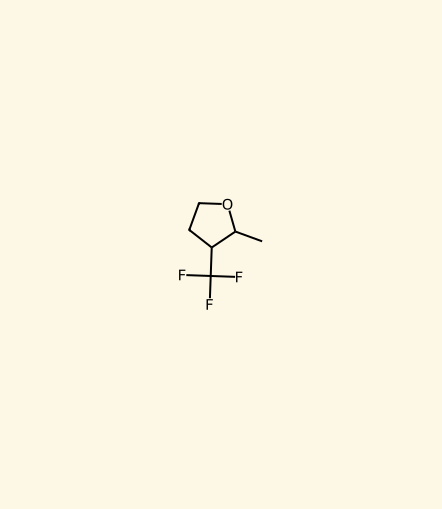 CC1OCCC1C(F)(F)F